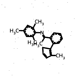 CC1=C(c2ccccc2/C(C)=N/c2c(C)cc(C)cc2C)CC=C1